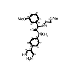 COCCNC(C(=O)N(C)c1ccc(/C(C=N)=C/N)cc1)c1cccc(OC)c1